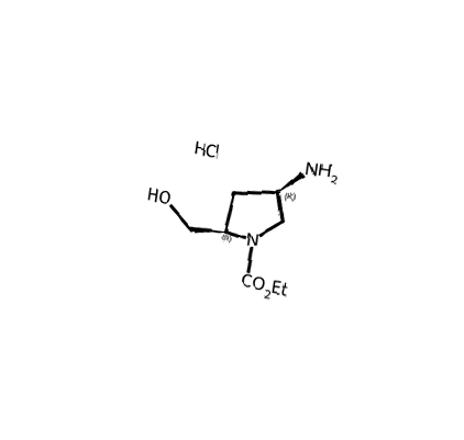 CCOC(=O)N1C[C@H](N)C[C@@H]1CO.Cl